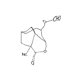 N#CC12CC3CC1C(OC2=O)C3OC=O